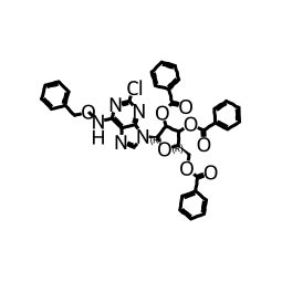 O=C(OC[C@H]1O[C@@H](n2cnc3c(NOCc4ccccc4)nc(Cl)nc32)C(OC(=O)c2ccccc2)C1OC(=O)c1ccccc1)c1ccccc1